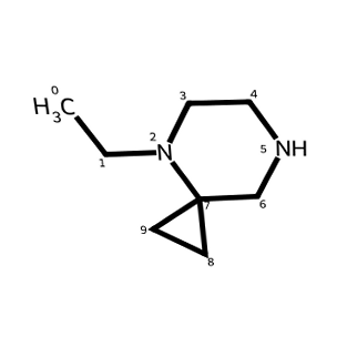 CCN1CCNCC12CC2